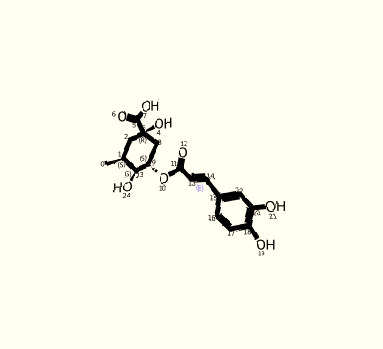 C[C@H]1C[C@](O)(C(=O)O)C[C@H](OC(=O)/C=C/c2ccc(O)c(O)c2)[C@H]1O